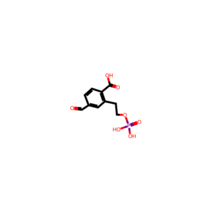 O=Cc1ccc(C(=O)O)c(CCOP(=O)(O)O)c1